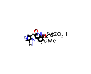 COc1ccc2c(Nc3c(C)cncc3C)cc(=O)[nH]c2c1OCCCCC(=O)O